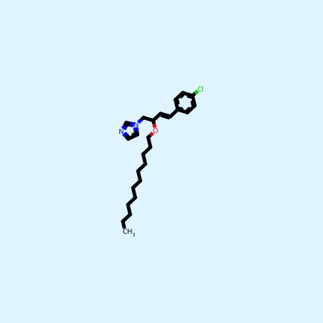 CCCCCCCCCCCCOC(C=Cc1ccc(Cl)cc1)Cn1ccnc1